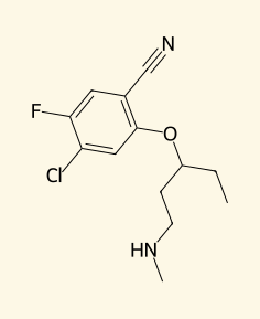 CCC(CCNC)Oc1cc(Cl)c(F)cc1C#N